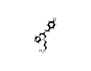 CCCCSCC(Cn1ccnc1)SCc1ccc(Cl)cc1